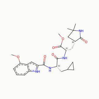 COC(=O)[C@H](C[C@@H]1CC(C)(C)NC1=O)NC(=O)[C@H](CC1CC1)NC(=O)c1cc2c(OC)cccc2[nH]1